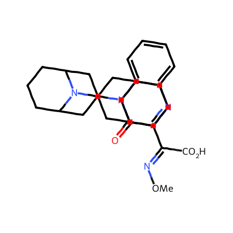 CO/N=C(\C(=O)O)c1nc2ccccc2n(C2CC3CCCC(C2)N3C2CC3CCCC(C3)C2)c1=O